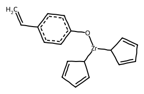 C=Cc1ccc([O][Zr]([CH]2C=CC=C2)[CH]2C=CC=C2)cc1